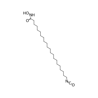 O=C=NCCCCCCCCCCCCCCCCCCCCCC(=O)NO